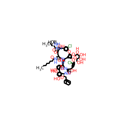 CCCCCCCC(=O)NC[C@@H]1CC(=O)[C@H](NC(=O)[C@@H](CC(C)C)NC)[C@H](O)c2ccc(c(Cl)c2)Oc2cc3cc(c2OC2OC(CO)C(O)C(O)C2O)Oc2ccc(cc2Cl)[C@@H](O)[C@@H]2NC(=O)[C@H](CC(=O)[C@@H]3NC1=O)c1ccc(O)c(c1)-c1c(O)cc(O)cc1[C@@H](C(=O)CC1C3CC4CC(C3)CC1C4)NC2=O